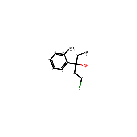 CC(C)CC(O)(CCF)c1ccccc1[N+](=O)[O-]